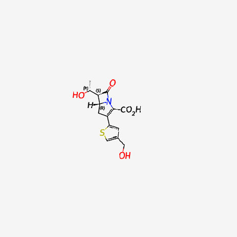 C[C@@H](O)[C@H]1C(=O)N2C(C(=O)O)=C(c3cc(CO)cs3)C[C@H]12